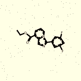 CCOC(=O)c1cccn2c(-c3cc(F)cc(F)c3)ncc12